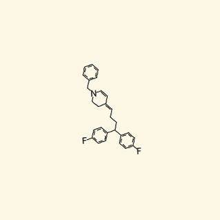 Fc1ccc(C(CCC=C2C=CN(Cc3ccccc3)CC2)c2ccc(F)cc2)cc1